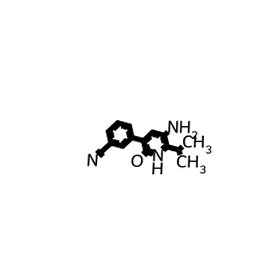 CC(C)c1[nH]c(=O)c(-c2cccc(C#N)c2)cc1N